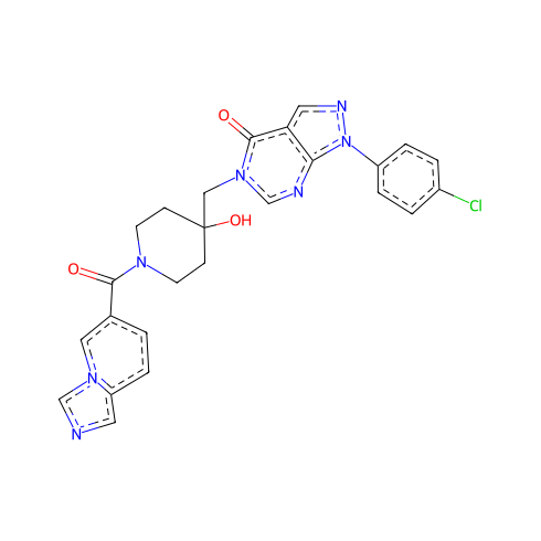 O=C(c1ccc2cncn2c1)N1CCC(O)(Cn2cnc3c(cnn3-c3ccc(Cl)cc3)c2=O)CC1